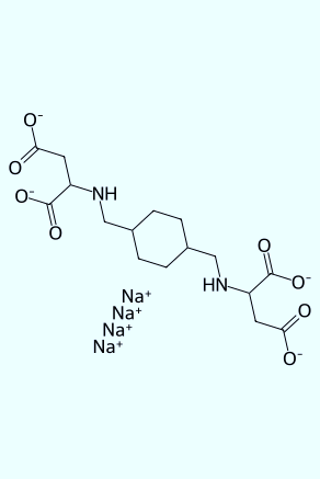 O=C([O-])CC(NCC1CCC(CNC(CC(=O)[O-])C(=O)[O-])CC1)C(=O)[O-].[Na+].[Na+].[Na+].[Na+]